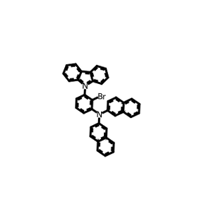 Brc1c(N(c2ccc3ccccc3c2)c2ccc3ccccc3c2)cccc1-n1c2ccccc2c2ccccc21